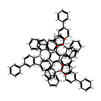 N#Cc1c(-c2ccccc2-n2c3ccc(-c4ccccc4)cc3c3cc(-c4ccccc4)ccc32)c(-c2cccnc2)c(-c2ccccc2-n2c3ccc(-c4ccccc4)cc3c3cc(-c4ccccc4)ccc32)c(-c2cccnc2)c1-c1ccccc1-n1c2ccc(-c3ccccc3)cc2c2cc(-c3ccccc3)ccc21